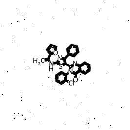 C=C(Nc1nc(-c2ccccc2)c(-c2nc3ccccc3c(=O)n2-c2ccccc2Cl)s1)c1ccco1